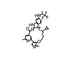 Cc1cc2cc(n1)-c1cnn(C)c1OCCCC(C1CC1)CN1/C(=N/C2=O)Nc2cc(NC(C)C(F)(F)F)ccc21